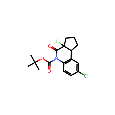 CC(C)(C)OC(=O)N1C(=O)C2(F)CCCC2c2cc(Cl)ccc21